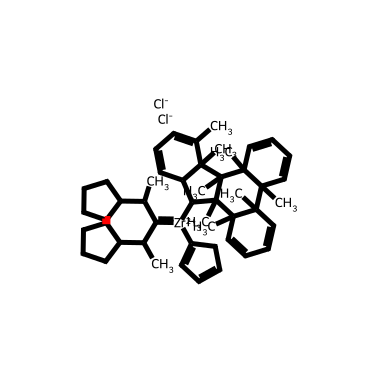 CC1=CC=CC2[CH]([Zr+2]([C]3=CC=CC3)=[C](C(C)C3CCCC3)C(C)C3CCCC3)C3(C)C4(C)C=CC=CC4(C)C4(C)C=CC=CC4(C)C3(C)C12C.[Cl-].[Cl-]